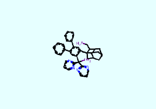 PCC1C2CC3CC(C2)CC1(c1cc(-c2ccccc2)c(-c2ccccc2)cc1C(P)(c1ncccn1)c1ncccn1)C3